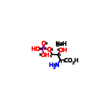 N[C@H](C(=O)O)[C@H](O)COP(=O)(O)O.[NaH]